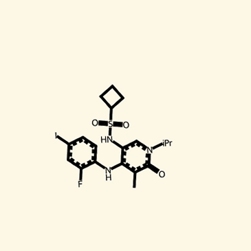 Cc1c(Nc2ccc(I)cc2F)c(NS(=O)(=O)C2CCC2)cn(C(C)C)c1=O